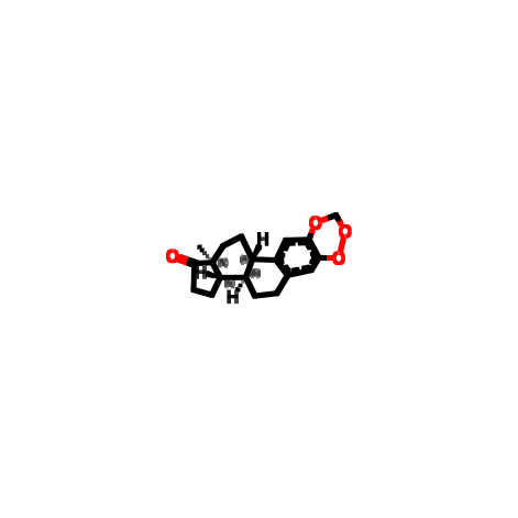 C[C@]12CC[C@@H]3c4cc5c(cc4CC[C@H]3[C@@H]1CCC2=O)OOCO5